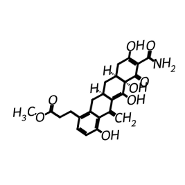 C=C1C2=C(O)[C@]3(O)C(=O)C(C(N)=O)=C(O)C[C@@H]3C[C@@H]2Cc2c(CCC(=O)OC)ccc(O)c21